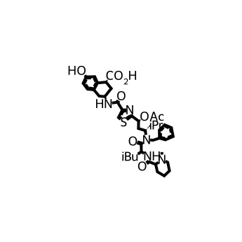 CCC(C)C(NC(=O)C1CCCCN1C)C(=O)N(Cc1ccccc1)[C@H](C[C@@H](OC(C)=O)c1nc(C(=O)N[C@H]2Cc3ccc(O)cc3[C@H](C(=O)O)C2)cs1)C(C)C